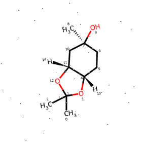 CC1(C)O[C@H]2CC[C@](C)(O)C[C@H]2O1